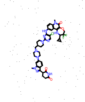 Cn1nc(C2CCC(=O)NC2=O)c2ccc(N3CCN(CC4CCN(c5ncc(Cl)c(Nc6ccc7c(c6)c6c(c(=O)n7C)OCC(F)(F)C(C7CC7)N6)n5)CC4)CC3)cc21